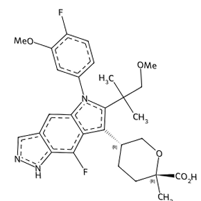 COCC(C)(C)c1c([C@H]2CC[C@](C)(C(=O)O)OC2)c2c(F)c3[nH]ncc3cc2n1-c1ccc(F)c(OC)c1